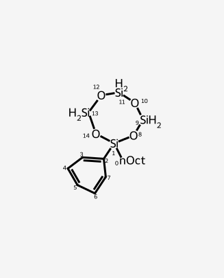 CCCCCCCC[Si]1(c2ccccc2)O[SiH2]O[SiH2]O[SiH2]O1